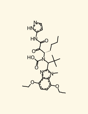 CCCC[C@@H](C(=O)C(=O)Nc1ccn[nH]1)N(C(=O)O)C(c1nc2c(OCC)ccc(OCC)c2n1C)C(C)(C)C